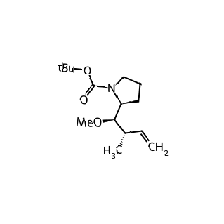 C=C[C@H](C)[C@@H](OC)[C@@H]1CCCN1C(=O)OC(C)(C)C